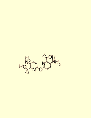 Nc1ccc(Oc2ccc(N)c(C3(O)CC3)n2)nc1C1(O)CC1